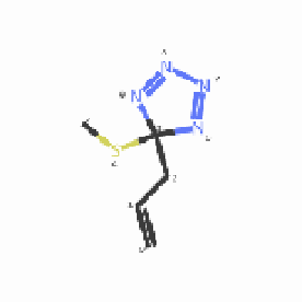 C=CCC1(SC)N=NN=N1